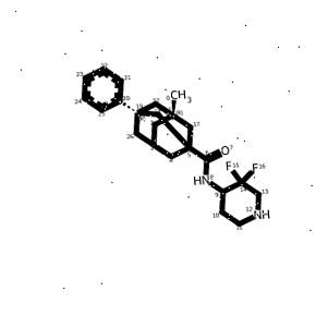 C[C@]12CC3CC(C(=O)NC4CCNCC4(F)F)(C1)C[C@@](c1ccccc1)(C3)C2